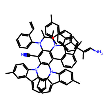 C=Cc1ccccc1N(c1c(C#N)c(-n2c3ccccc3c3cc(C)ccc32)c(-n2c3ccccc3c3cc(C)ccc32)c(-c2cccc3c2-c2ccccc2C3(C)/C(C)=C/N)c1-n1c2ccccc2c2cc(C)ccc21)C(C)C(C)C